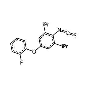 CC(C)c1cc(Oc2ccccc2F)cc(C(C)C)c1N=C=S